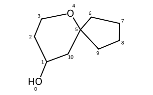 OC1CCOC2(CCCC2)C1